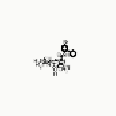 CC(C)(O)c1c(C#N)nc(C(=O)Nc2ccc(Br)cc2C2=CCCCC2)n1COCC[Si](C)(C)C